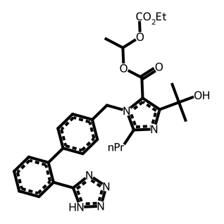 CCCc1nc(C(C)(C)O)c(C(=O)OC(C)OC(=O)OCC)n1Cc1ccc(-c2ccccc2-c2nnn[nH]2)cc1